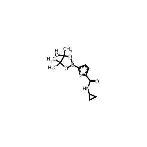 CC1(C)OB(c2ccc(C(=O)NC3CC3)s2)OC1(C)C